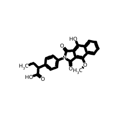 CCC(C(=O)O)c1ccc(N2C(=O)c3c(c(OC)c4ccccc4c3O)C2=O)cc1